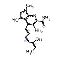 C\C=C(O)/C=C\C=C\c1c(N)c(C(N)=O)nc2c1c(C#N)cn2C